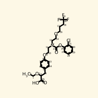 CCOC(Cc1ccc(OCCN(CCOCCCC(F)(F)F)C(=O)Oc2ccccc2Cl)cc1)C(=O)O